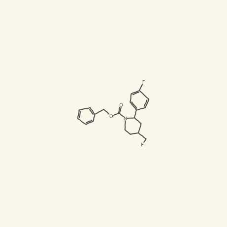 O=C(OCc1ccccc1)N1CCC(CF)CC1c1ccc(F)cc1